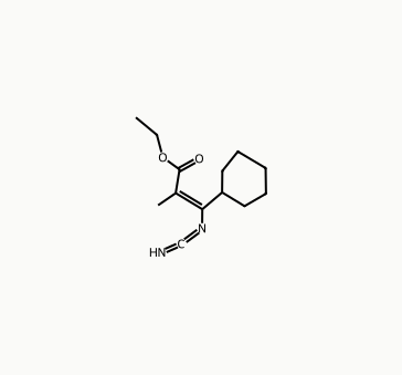 CCOC(=O)C(C)=C(N=C=N)C1CCCCC1